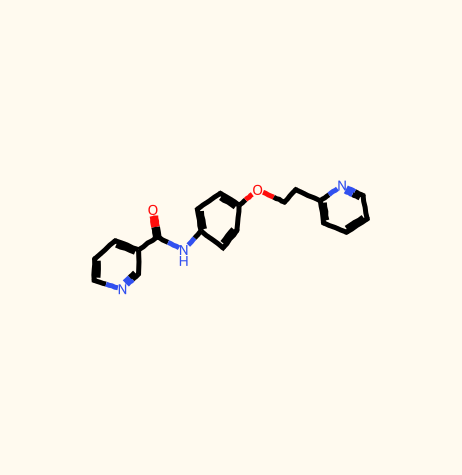 O=C(Nc1ccc(OCCc2ccccn2)cc1)c1cccnc1